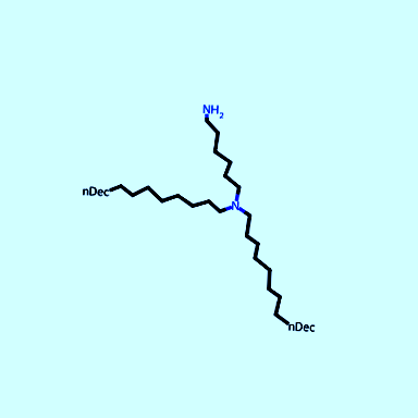 CCCCCCCCCCCCCCCCCCN(CCCCCCN)CCCCCCCCCCCCCCCCCC